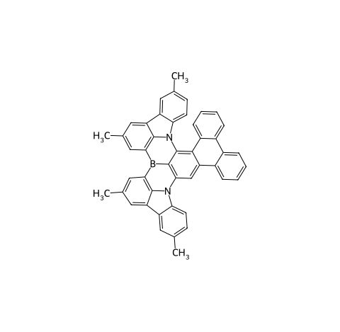 Cc1ccc2c(c1)c1cc(C)cc3c1n2-c1cc2c4ccccc4c4ccccc4c2c2c1B3c1cc(C)cc3c4cc(C)ccc4n-2c13